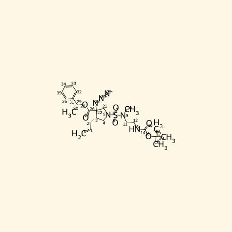 C=CC[C@H]1CN(S(=O)(=O)N(C)CCNC(=O)OC(C)(C)C)CC1(N=[N+]=[N-])C(=O)O[C@H](C)c1ccccc1